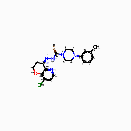 Cc1cccc(N2CCN(C(=S)N/N=C3/CCOc4c(Cl)ccnc43)CC2)c1